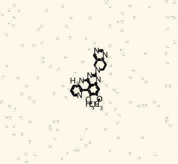 COc1cc2nc(N3CCc4ncncc4C3)nc(N)c2c(-c2ccccn2)c1OC